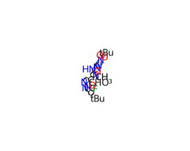 Cn1cc(-c2ccnc(-n3ncc4cc(C(C)(C)C)cc(F)c4c3=O)c2C=O)cc(Nc2cc3n(n2)CCN(C(=O)OC(C)(C)C)C3)c1=O